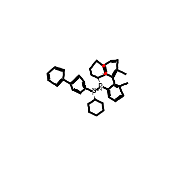 Cc1ccc[c]c1-c1c(C)cccc1[P@@](C1CCCCC1)[P@@](c1ccc(-c2ccccc2)cc1)C1CCCCC1